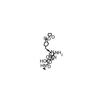 Nc1nc(C#CCC2CCN(C(=O)OC3CCCC3=O)CC2)nc2c1ncn2[C@@H]1O[C@H](C(=O)NC2CC2)[C@H](O)C1O